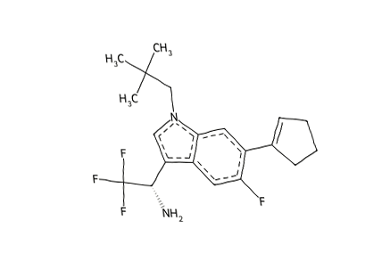 CC(C)(C)Cn1cc([C@H](N)C(F)(F)F)c2cc(F)c(C3=CCCC3)cc21